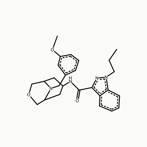 CCCn1nc(C(=O)NC2CC3COCC(C2)N3Cc2cccc(OC)c2)c2ccccc21